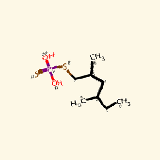 CCC(C)CC(C)CSP(O)(O)=S